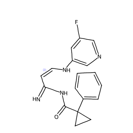 N=C(/C=C\Nc1cncc(F)c1)NC(=O)C1(c2ccccc2)CC1